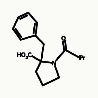 CC(C)C(=O)N1CCCC1(Cc1ccccc1)C(=O)O